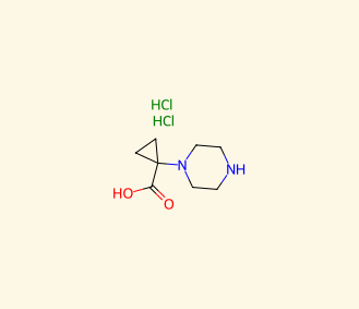 Cl.Cl.O=C(O)C1(N2CCNCC2)CC1